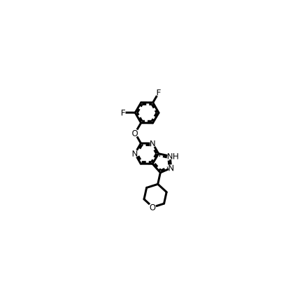 Fc1ccc(Oc2ncc3c(C4CCOCC4)n[nH]c3n2)c(F)c1